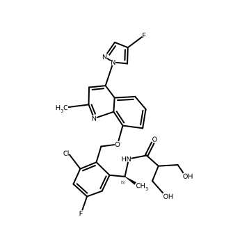 Cc1cc(-n2cc(F)cn2)c2cccc(OCc3c(Cl)cc(F)cc3[C@H](C)NC(=O)C(CO)CO)c2n1